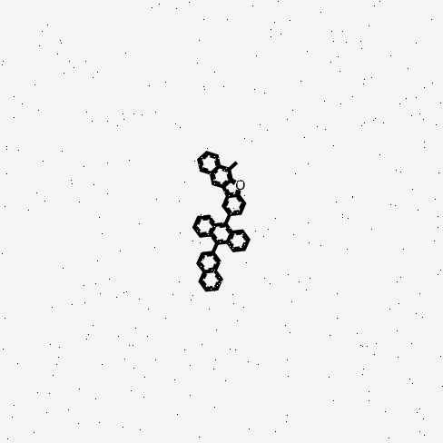 Cc1c2ccccc2cc2c1oc1ccc(-c3c4ccccc4c(-c4ccc5ccccc5c4)c4ccccc34)cc12